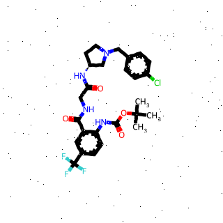 CC(C)(C)OC(=O)Nc1ccc(C(F)(F)F)cc1C(=O)NCC(=O)N[C@@H]1CCN(Cc2ccc(Cl)cc2)C1